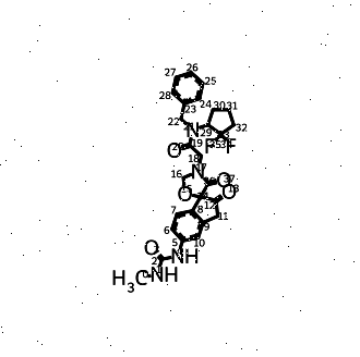 CNC(=O)Nc1ccc2c(c1)CC(=O)C21OCN(CC(=O)N(Cc2ccccc2)C2CCCC2(F)F)C1=O